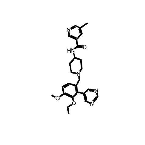 CCOc1c(OC)ccc(CN2CCC(NC(=O)c3cncc(C)c3)CC2)c1-c1cncnc1